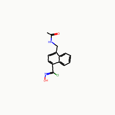 CC(=O)NCc1ccc(/C(Cl)=N/O)c2ccccc12